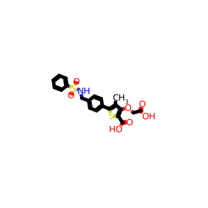 Cc1c(-c2ccc(CNS(=O)(=O)c3ccccc3)cc2)sc(C(=O)O)c1OCC(=O)O